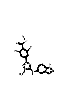 CCNC(=O)c1c(F)cc(-c2nc(Nc3ccc4[nH]ncc4c3)n(C)n2)cc1F